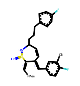 CN/C=C1\C(=C\c2ccc(F)c(C#N)c2)C=CC(CCCc2ccc(F)cc2)NS1=N